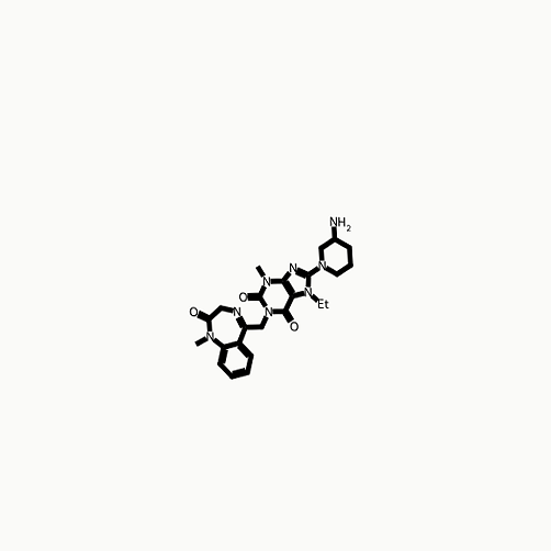 CCn1c(N2CCCC(N)C2)nc2c1c(=O)n(CC1=NCC(=O)N(C)c3ccccc31)c(=O)n2C